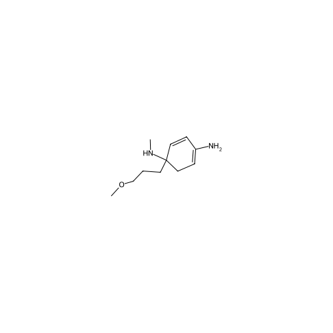 CNC1(CCCOC)C=CC(N)=CC1